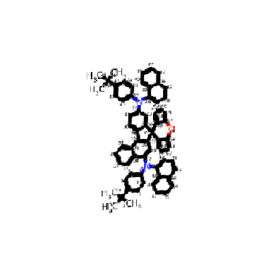 CC(C)(C)C1=CC=C(N(c2cccc3ccccc23)c2cc3c(c4ccccc24)-c2ccc(N(c4ccc(C(C)(C)C)cc4)c4cccc5ccccc45)cc2C32c3ccccc3Oc3ccccc32)CC1